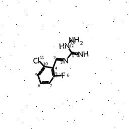 N=C(N=Cc1c(F)cccc1Cl)NN